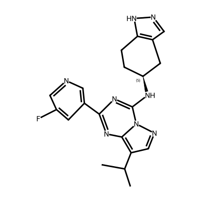 CC(C)c1cnn2c(N[C@H]3CCc4[nH]ncc4C3)nc(-c3cncc(F)c3)nc12